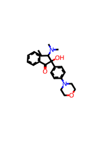 CCC(N(C)C)C(O)(C(=O)c1ccccc1)c1ccc(N2CCOCC2)cc1